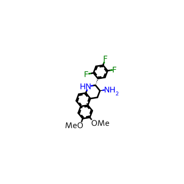 COc1cc2ccc3c(c2cc1OC)C[C@H](N)[C@@H](c1cc(F)c(F)cc1F)N3